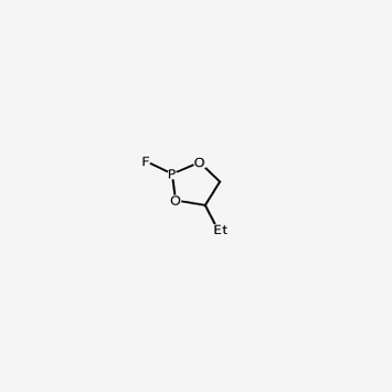 CCC1COP(F)O1